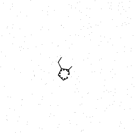 CCC(C)Cc1ccsc1Br